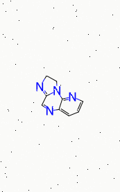 C1=Nc2cccnc2N2CCN=C12